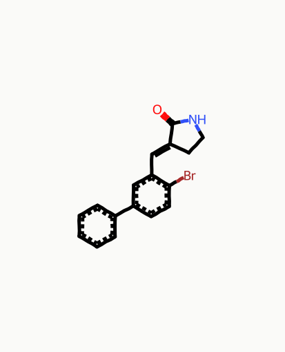 O=C1NCC/C1=C\c1cc(-c2ccccc2)ccc1Br